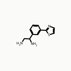 NCC(N)c1cccc(-c2nccs2)c1